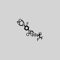 CN1CCN(c2ccc(N3C[C@H](CNC(=O)C(F)F)OC3=O)cc2F)CCO1